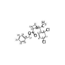 CC(c1ccc(Cl)cc1Cl)N1CCC1C(=O)OCc1ccccc1